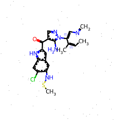 C=N/C=C(\C(C)=C/C)n1ncc(C(=O)c2cc3cc(NSC)c(Cl)cc3[nH]2)c1N